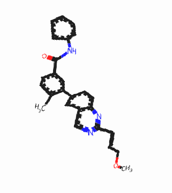 COC/C=C/c1ncc2cc(-c3cc(C(=O)Nc4ccccc4)ccc3C)ccc2n1